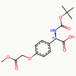 COC(=O)COc1ccc([C@@H](NC(=O)OC(C)(C)C)C(=O)O)cc1